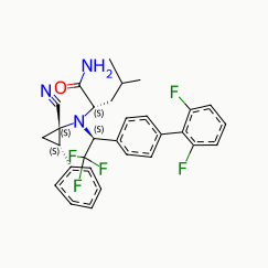 CC(C)C[C@@H](C(N)=O)N([C@@H](c1ccc(-c2c(F)cccc2F)cc1)C(F)(F)F)[C@@]1(C#N)C[C@H]1c1ccccc1